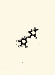 CC1(C)OC(=O)C(=CNc2cc(Cl)c(Cl)c(Br)c2)C(=O)O1